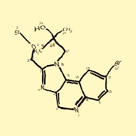 CCOCc1nc2cnc3ccc(Br)cc3c2n1CC(C)(C)O